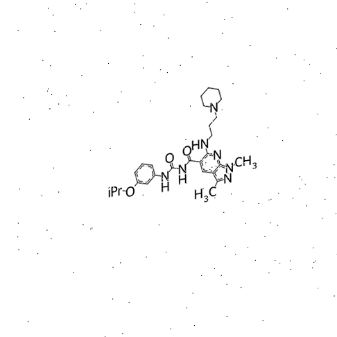 Cc1nn(C)c2nc(NCCCN3CCCCC3)c(C(=O)NC(=O)Nc3cccc(OC(C)C)c3)cc12